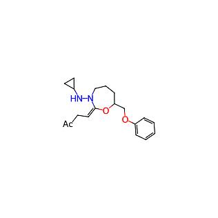 CC(=O)C/C=C1/OC(COc2ccccc2)CCCN1NC1CC1